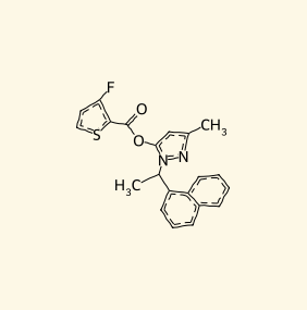 Cc1cc(OC(=O)c2sccc2F)n(C(C)c2cccc3ccccc23)n1